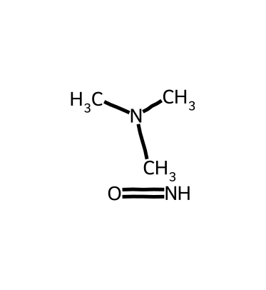 CN(C)C.N=O